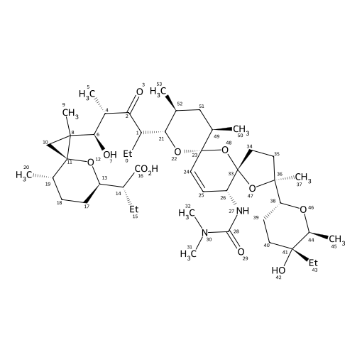 CCC(C(=O)[C@@H](C)[C@@H](O)C1(C)C[C@]12O[C@@H]([C@@H](CC)C(=O)O)CC[C@@H]2C)[C@H]1O[C@]2(C=C[C@@H](NC(=O)N(C)C)[C@]3(CC[C@@](C)([C@H]4CC[C@](O)(CC)[C@H](C)O4)O3)O2)[C@H](C)C[C@@H]1C